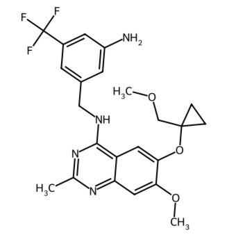 COCC1(Oc2cc3c(NCc4cc(N)cc(C(F)(F)F)c4)nc(C)nc3cc2OC)CC1